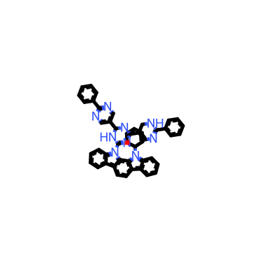 C1=CCC(n2c3ccccc3c3ccc4c5ccccc5n(C5=NC(C6=CN=C(c7ccccc7)NC6)=NC(c6cnc(-c7ccccc7)nc6)N5)c4c32)C=C1